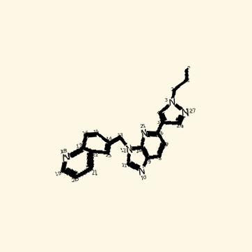 CCCn1cc(-c2ccc3ncn(Cc4ccc5ncccc5c4)c3n2)cn1